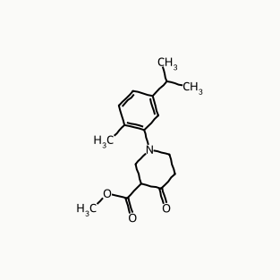 COC(=O)C1CN(c2cc(C(C)C)ccc2C)CCC1=O